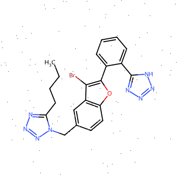 CCCCc1nnnn1Cc1ccc2oc(-c3ccccc3-c3nnn[nH]3)c(Br)c2c1